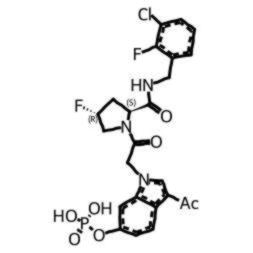 CC(=O)c1cn(CC(=O)N2C[C@H](F)C[C@H]2C(=O)NCc2cccc(Cl)c2F)c2cc(OP(=O)(O)O)ccc12